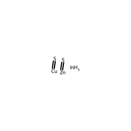 [InH3].[S]=[Cu].[S]=[Zn]